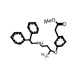 COC(=O)Cc1cccc(OC(C)CCNCC(c2ccccc2)c2ccccc2)c1